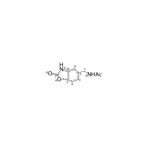 CC(=O)NCc1ccc2oc(=O)[nH]c2c1